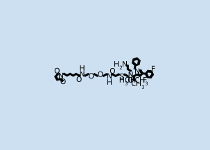 CC(C)(C)[C@H](c1cc(-c2cc(F)ccc2F)cn1Cc1ccccc1)N(CCCN)C(O)CSCCC(=O)NCCOCCOCCNC(=O)CCCCCN1C(=O)C=CC1=O